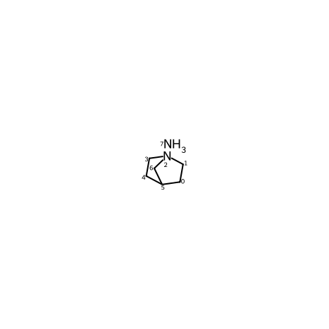 C1CN2CCC1C2.N